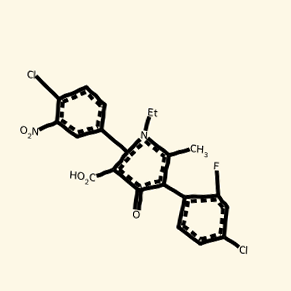 CCn1c(C)c(-c2ccc(Cl)cc2F)c(=O)c(C(=O)O)c1-c1ccc(Cl)c([N+](=O)[O-])c1